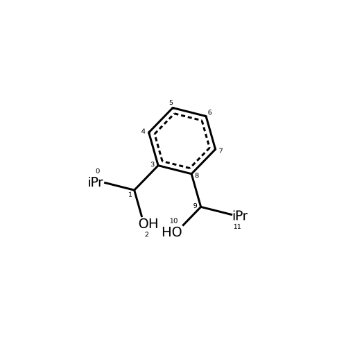 CC(C)C(O)c1ccccc1C(O)C(C)C